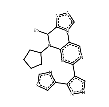 CCC1c2nncn2-c2cnc(-c3cn[nH]c3-c3cscn3)nc2N1C1CCCC1